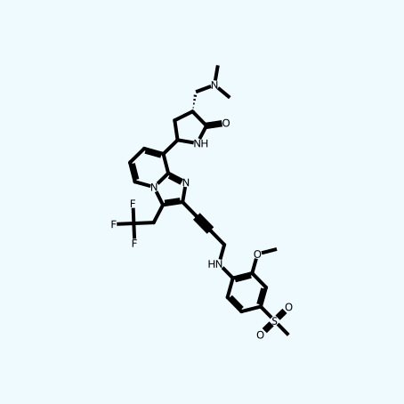 COc1cc(S(C)(=O)=O)ccc1NCC#Cc1nc2c(C3C[C@H](CN(C)C)C(=O)N3)cccn2c1CC(F)(F)F